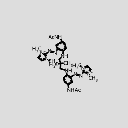 CC(=O)Nc1ccc(NCC(C)(C)CNc2ccc(NC(C)=O)cc2/N=N/c2n(C)cc[n+]2C)c(/N=N/c2n(C)cc[n+]2C)c1